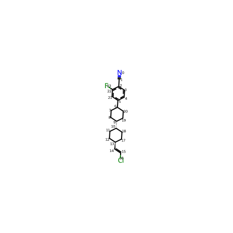 N#Cc1ccc(C2CCC([C@H]3CC[C@H](/C=C/Cl)CC3)CC2)cc1F